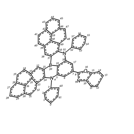 c1ccc(N2c3cc(-c4nc5ccccc5o4)cc4c3B(c3cc5ccc6cccc7ccc(c32)c5c67)c2cc3ccc5cccc6ccc(c2N4c2ccccc2)c3c56)cc1